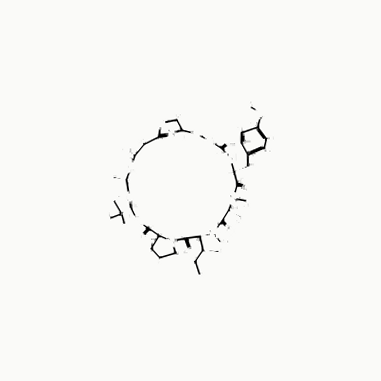 CC[C@H](C)[C@H]1C(=O)N2CCC[C@H]2C(=O)O[C@H](C(C)(C)C)C[C@@H](C)C[C@H](O)CC2=NC(CCC(=O)N[C@@H](Cc3ccc(OC)cc3)C(=O)N(C)[C@@H](C)C(=O)N1C)CS2